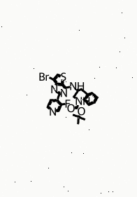 CC(C)(C)OC(=O)NCC(Cc1ccccc1)Nc1nc(-c2ccncc2F)nc2c(Br)csc12